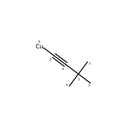 CC(C)(C)C#[C][Cu]